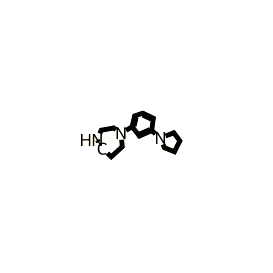 c1cc(N2CCCC2)cc(N2CCCNCC2)c1